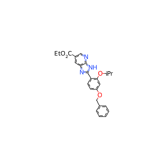 CCOC(=O)c1cnc2[nH]c(-c3ccc(OCc4ccccc4)cc3OC(C)C)nc2c1